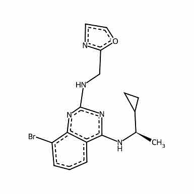 C[C@@H](Nc1nc(NCc2ncco2)nc2c(Br)cccc12)C1CC1